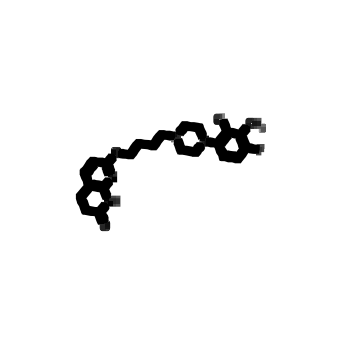 Cc1c(F)ccc(N2CCN(CCCCOc3ccc4c(n3)NC(=O)CC4)CC2)c1Cl